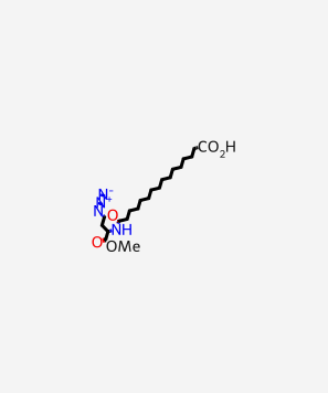 COC(=O)C(CCN=[N+]=[N-])NC(=O)CCCCCCCCCCCCCCC(=O)O